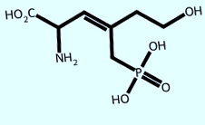 NC(/C=C(/CCO)CP(=O)(O)O)C(=O)O